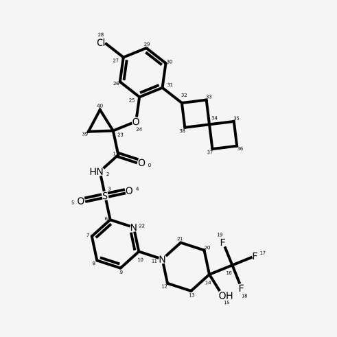 O=C(NS(=O)(=O)c1cccc(N2CCC(O)(C(F)(F)F)CC2)n1)C1(Oc2cc(Cl)ccc2C2CC3(CCC3)C2)CC1